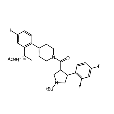 CC(=O)N[C@@H](C)c1cc(I)ccc1C1CCN(C(=O)C2CN(C(C)(C)C)CC2c2ccc(F)cc2F)CC1